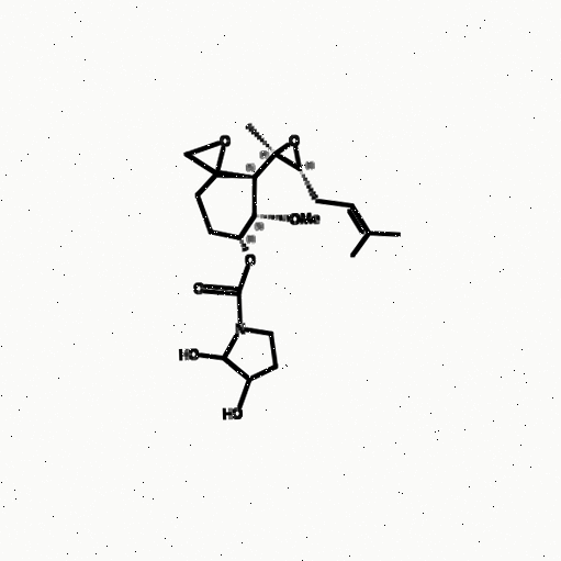 CO[C@@H]1[C@H](OC(=O)N2CCC(O)C2O)CCC2(CO2)[C@H]1[C@@]1(C)O[C@@H]1CC=C(C)C